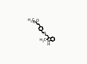 COC(=O)/C=C/c1ccc(C=NCCc2c(C)[nH]c3ccccc23)cc1